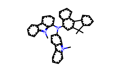 Cn1c2ccccc2c2ccc(N(c3cc4c(c5ccccc35)-c3ccccc3C4(C)C)c3cccc4c5ccccc5n(C)c34)cc21